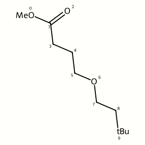 COC(=O)CCCOCCC(C)(C)C